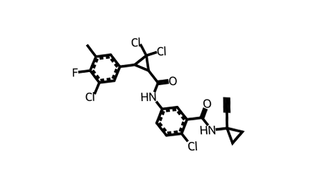 C#CC1(NC(=O)c2cc(NC(=O)C3C(c4cc(C)c(F)c(Cl)c4)C3(Cl)Cl)ccc2Cl)CC1